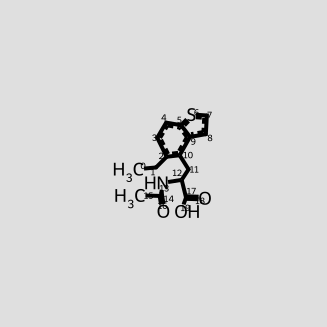 CCc1ccc2sccc2c1CC(NC(C)=O)C(=O)O